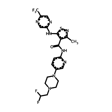 Cc1nsc(Nc2cnc(C(F)(F)F)cn2)c1C(=O)Nc1ccc(N2CCN(CC(F)F)CC2)cn1